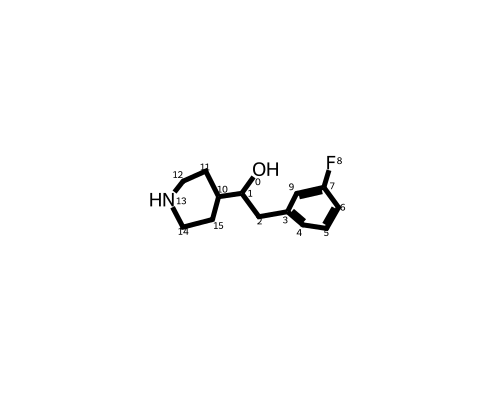 OC(Cc1cccc(F)c1)C1CCNCC1